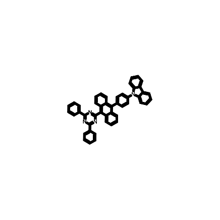 c1ccc(-c2nc(-c3ccccc3)nc(-c3c4ccccc4c(-c4ccc(-n5c6ccccc6c6ccccc65)cc4)c4ccccc34)n2)cc1